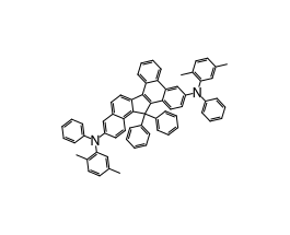 Cc1ccc(C)c(N(c2ccccc2)c2ccc3c4c(ccc3c2)-c2c(c3ccc(N(c5ccccc5)c5cc(C)ccc5C)cc3c3ccccc23)C4(c2ccccc2)c2ccccc2)c1